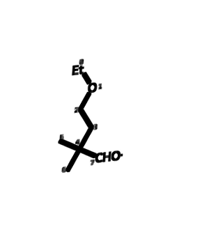 CCOCCC(C)(C)[C]=O